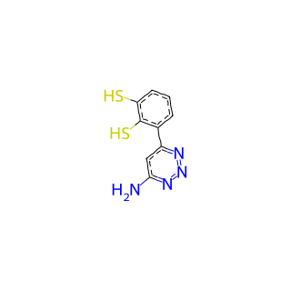 Nc1cc(-c2cccc(S)c2S)nnn1